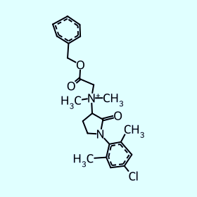 Cc1cc(Cl)cc(C)c1N1CCC([N+](C)(C)CC(=O)OCc2ccccc2)C1=O